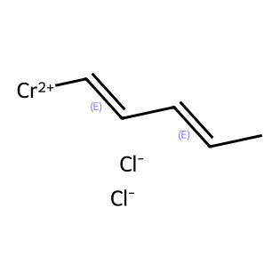 C/C=C/C=[CH]/[Cr+2].[Cl-].[Cl-]